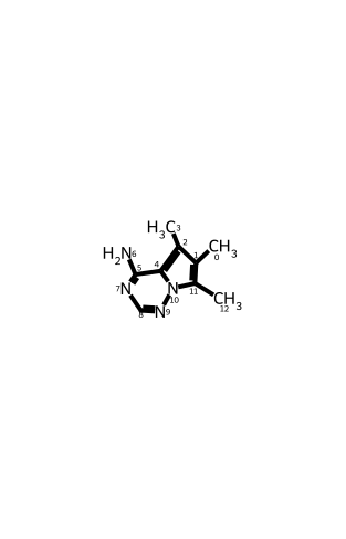 Cc1c(C)c2c(N)ncnn2c1C